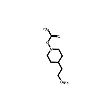 COCCC1CCN(OC(=O)C(C)(C)C)CC1